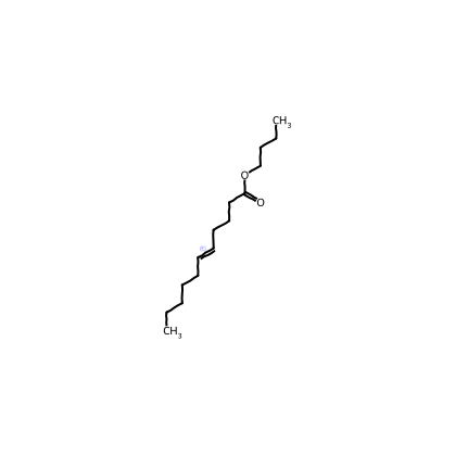 CCCCC/C=C/CCCC(=O)OCCCC